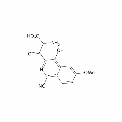 COc1ccc2c(C#N)nc(C(=O)C(N)C(=O)O)c(O)c2c1